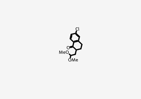 COC(CC1CCc2cc(Cl)ccc2C1=O)OC